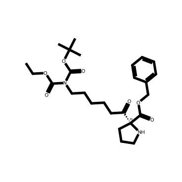 CCOC(=O)N(CCCCCC(=O)[C@@]1(C(=O)OCc2ccccc2)CCCN1)C(=O)OC(C)(C)C